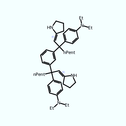 CCCCCC(/C=C1\CCCN1)(c1ccc(N(CC)CC)cc1)c1cccc(C(/C=C2\CCCN2)(CCCCC)c2ccc(N(CC)CC)cc2)c1